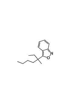 CCCCC(C)(CC)c1onc2ccccc12